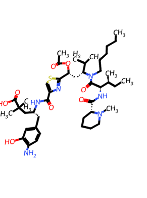 CCCCCCN(C(=O)[C@@H](NC(=O)[C@H]1CCCCN1C)[C@@H](C)CC)[C@H](C[C@@H](OC(C)=O)c1nc(C(=O)N[C@H](Cc2ccc(N)c(O)c2)CC(C)(C)C(=O)O)cs1)C(C)C